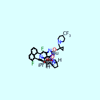 CC(C)[Si](C#Cc1c(F)ccc2cccc(-c3nc4c5c(nc(OCC6(CN7CCC(C(F)(F)F)CC7)CC6)nc5c3F)N3C[C@H]5CC[C@@H]([C@@H]3[C@@H](C)C4)N5C(=O)OC(C)(C)C)c12)(C(C)C)C(C)C